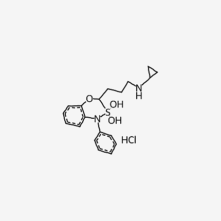 Cl.OS1(O)C(CCCNC2CC2)Oc2ccccc2N1c1ccccc1